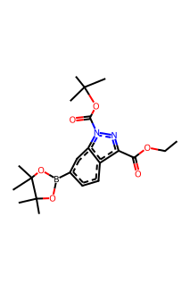 CCOC(=O)c1nn(C(=O)OC(C)(C)C)c2cc(B3OC(C)(C)C(C)(C)O3)ccc12